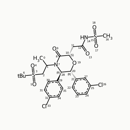 CC(CS(=O)(=O)C(C)(C)C)N1C(=O)[C@H](CC(=O)NS(C)(=O)=O)O[C@H](c2cccc(Cl)c2)[C@H]1c1ccc(Cl)cc1